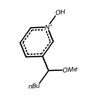 CCCCC(OC)c1ccc[n+](O)c1